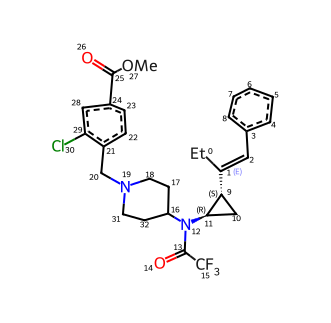 CC/C(=C\c1ccccc1)[C@@H]1C[C@H]1N(C(=O)C(F)(F)F)C1CCN(Cc2ccc(C(=O)OC)cc2Cl)CC1